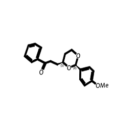 COc1ccc([C@@H]2OCC[C@H](CCC(=O)c3ccccc3)O2)cc1